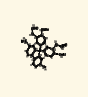 COc1ccc(C2(c3ccc(OC)c(OC=O)c3)c3cc(C)ccc3-c3ccc(Br)cc32)cc1OC=O